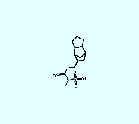 C=C(OCC1CC2CC1C1CCCC21)C(F)S(=O)(=O)O